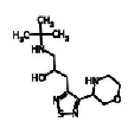 CC(C)(C)NCC(O)Cc1nsnc1C1COCCN1